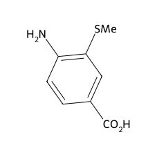 CSc1cc(C(=O)O)ccc1N